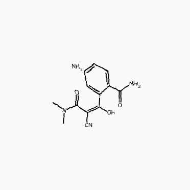 CN(C)C(=O)C(C#N)=C(O)c1ccccc1C(N)=O.N